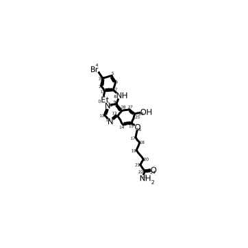 CCc1cc(Br)ccc1Nc1ncnc2cc(OCCCCCC(N)=O)c(O)cc12